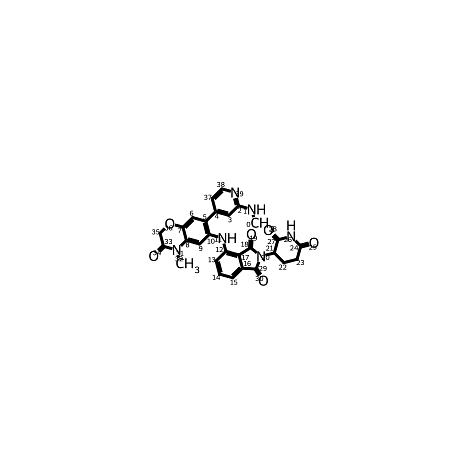 CNc1cc(-c2cc3c(cc2Nc2cccc4c2C(=O)N(C2CCC(=O)NC2=O)C4=O)N(C)C(=O)CO3)ccn1